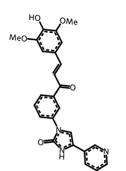 COc1cc(C=CC(=O)c2cccc(-n3cc(-c4cccnc4)[nH]c3=O)c2)cc(OC)c1O